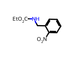 CCOC(=O)NCc1ccccc1[N+](=O)[O-]